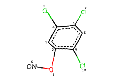 O=NOc1cc(Cl)c(Cl)cc1Cl